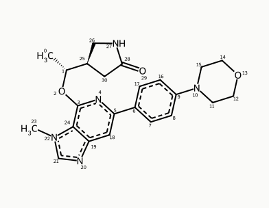 C[C@@H](Oc1nc(-c2ccc(N3CCOCC3)cc2)cc2ncn(C)c12)[C@H]1CNC(=O)C1